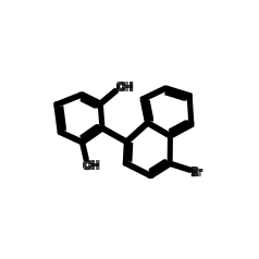 Oc1cccc(O)c1-c1ccc(Br)c2ccccc12